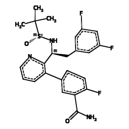 CC(C)(C)[S@@+]([O-])N[C@@H](Cc1cc(F)cc(F)c1)c1ncccc1-c1ccc(F)c(C(N)=O)c1